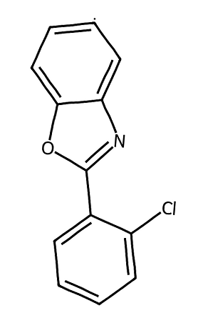 Clc1ccccc1-c1nc2c[c]ccc2o1